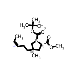 C/C=C\CC[C@]1(C)C[C@@H](C(=O)OC)N(C(=O)OC(C)(C)C)C1